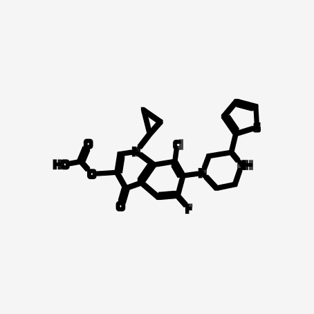 O=C(O)Oc1cn(C2CC2)c2c(Cl)c(N3CCNC(c4cccs4)C3)c(F)cc2c1=O